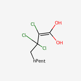 CCCCCCC(Cl)(Cl)C(Cl)=C(O)O